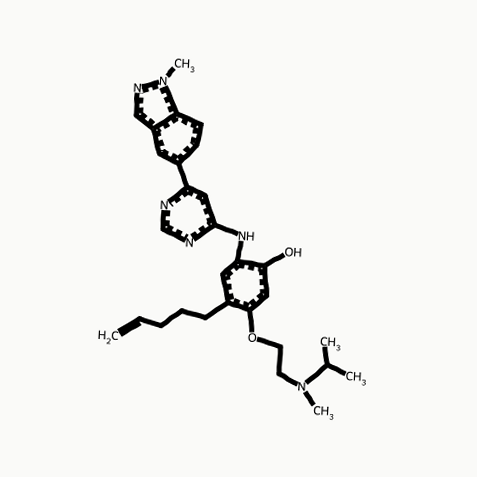 C=CCCCc1cc(Nc2cc(-c3ccc4c(cnn4C)c3)ncn2)c(O)cc1OCCN(C)C(C)C